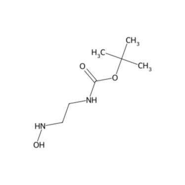 CC(C)(C)OC(=O)NCCNO